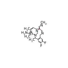 C=N/C=C\C=N/Cc1cc(F)c(F)cc1C(=C)N(CC)CN1CC1/C=C(C)\N=C(\C)N